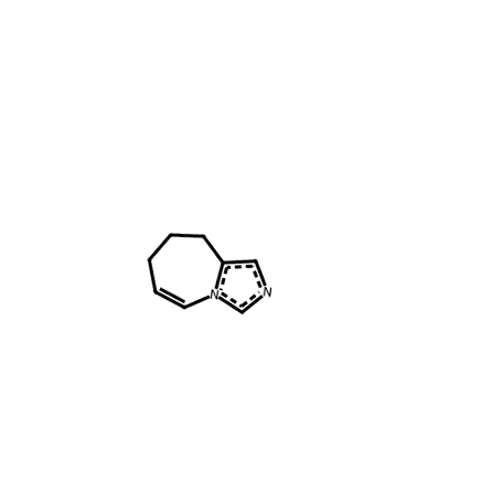 C1=Cn2cncc2CCC1